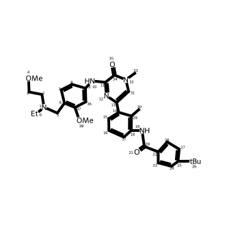 CCN(CCOC)Cc1ccc(Nc2nc(-c3cccc(NC(=O)c4ccc(C(C)(C)C)cc4)c3C)cn(C)c2=O)cc1OC